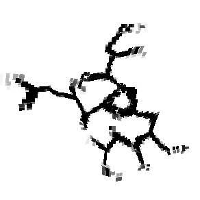 CC(=O)N(C(=O)C(N)C(C)C)C(Cc1cn(C(=O)C(N)CC(=O)O)c(C(=O)C(N)CCC(N)=O)n1)C(=O)O